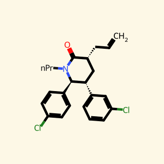 C=CC[C@@H]1C[C@H](c2cccc(Cl)c2)[C@@H](c2ccc(Cl)cc2)N(CCC)C1=O